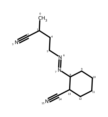 CC(C#N)CCN=NC1CCCCC1C#N